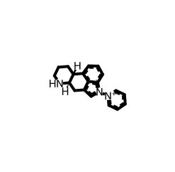 c1cc[n+](-n2cc3c4c(cccc42)[C@H]2CCCN[C@@H]2C3)cc1